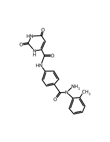 Cc1ccccc1N(N)C(=O)c1ccc(NC(=O)c2cc(=O)[nH]c(=O)[nH]2)cc1